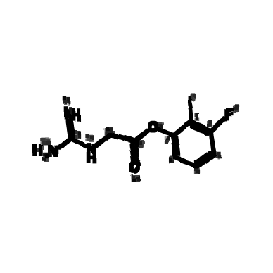 Cc1c(F)cccc1OC(=O)CNC(=N)N